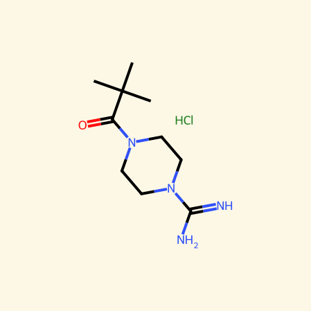 CC(C)(C)C(=O)N1CCN(C(=N)N)CC1.Cl